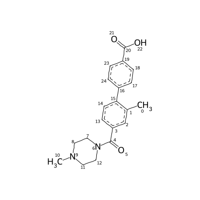 Cc1cc(C(=O)N2CCN(C)CC2)ccc1-c1ccc(C(=O)O)cc1